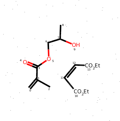 C=C(C)C(=O)OCC(C)O.CCOC(=O)/C=C\C(=O)OCC